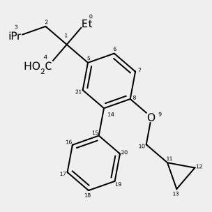 CCC(CC(C)C)(C(=O)O)c1ccc(OCC2CC2)c(-c2ccccc2)c1